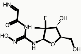 C[C@]1(F)[C@H](N/C(=N/O)NC(=O)C=N)O[C@H](CO)[C@H]1O